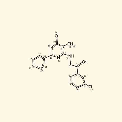 Cn1c(NCC(=O)c2cccc(Cl)c2)nc(-c2ccncc2)cc1=O